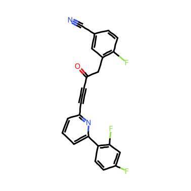 N#Cc1ccc(F)c(CC(=O)C#Cc2cccc(-c3ccc(F)cc3F)n2)c1